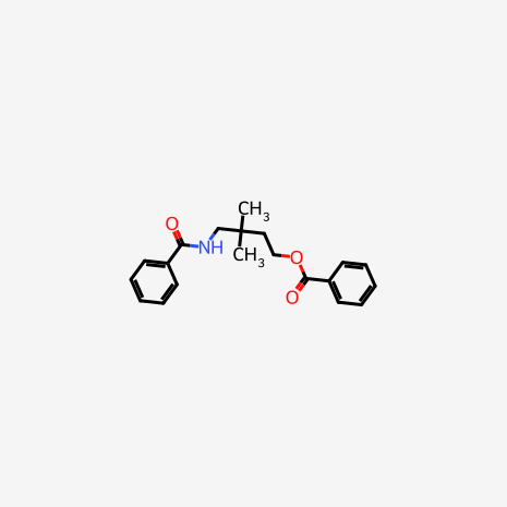 CC(C)(CCOC(=O)c1ccccc1)CNC(=O)c1ccccc1